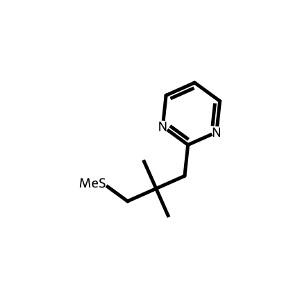 CSCC(C)(C)Cc1ncccn1